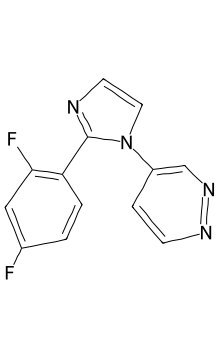 Fc1ccc(-c2nccn2-c2ccnnc2)c(F)c1